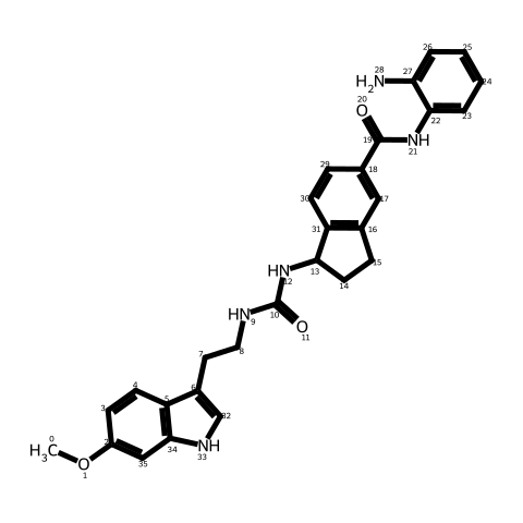 COc1ccc2c(CCNC(=O)NC3CCc4cc(C(=O)Nc5ccccc5N)ccc43)c[nH]c2c1